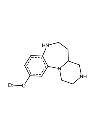 CCOc1ccc2c(c1)N1CCNCC1CCN2